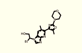 CCC(CO)n1cnc2nc(-c3nc(N4CCOCC4)oc3C)c(C)cc21